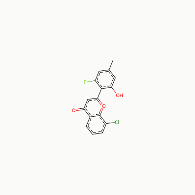 Cc1cc(O)c(-c2cc(=O)c3cccc(Cl)c3o2)c(F)c1